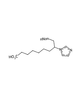 CCCCCCCCCCC(CCCCCCC(=O)O)n1ccnc1